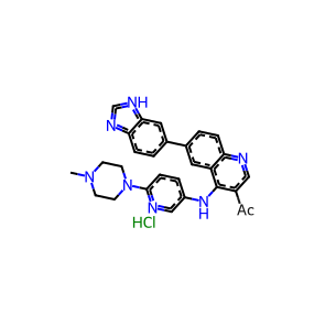 CC(=O)c1cnc2ccc(-c3ccc4nc[nH]c4c3)cc2c1Nc1ccc(N2CCN(C)CC2)nc1.Cl